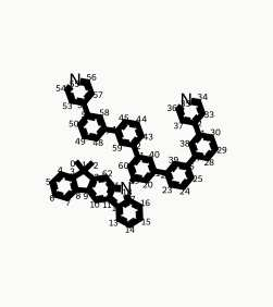 CC1(C)c2ccccc2-c2cc3c4ccccc4n(-c4cc(-c5cccc(-c6cccc(-c7ccncc7)c6)c5)cc(-c5cccc(-c6cccc(-c7ccncc7)c6)c5)c4)c3cc21